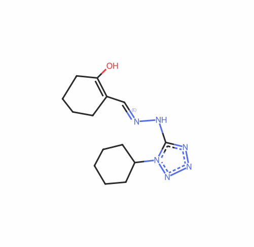 OC1=C(/C=N/Nc2nnnn2C2CCCCC2)CCCC1